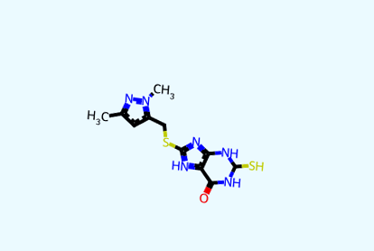 Cc1cc(CSc2nc3c([nH]2)C(=O)NC(S)N3)n(C)n1